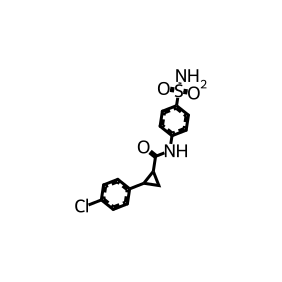 NS(=O)(=O)c1ccc(NC(=O)C2CC2c2ccc(Cl)cc2)cc1